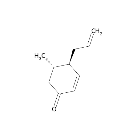 C=CC[C@H]1C=CC(=O)C[C@@H]1C